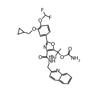 CC(C)(C)C(C)(OC(N)=O)c1oc(-c2ccc(OC(F)F)c(OCC3CC3)c2)nc1C(=O)NCc1ccc2ccccc2n1